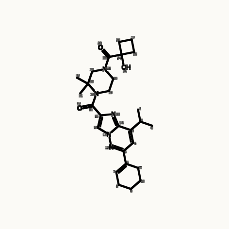 CC(C)c1cc(C2=CCCCC2)nn2cc(C(=O)N3CCN(C(=O)C4(O)CCC4)CC3(C)C)nc12